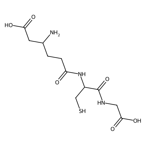 NC(CCC(=O)NC(CS)C(=O)NCC(=O)O)CC(=O)O